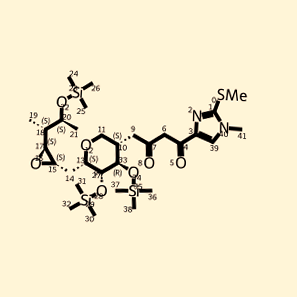 CSc1nc(C(=O)CC(=O)C[C@H]2CO[C@@H](C[C@@H]3O[C@H]3[C@H](C)[C@H](C)O[Si](C)(C)C)[C@@H](O[Si](C)(C)C)[C@@H]2O[Si](C)(C)C)cn1C